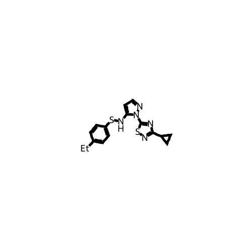 CCc1ccc(SNc2ccnn2-c2nc(C3CC3)ns2)cc1